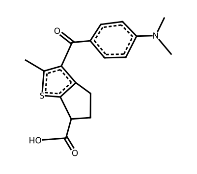 Cc1sc2c(c1C(=O)c1ccc(N(C)C)cc1)CCC2C(=O)O